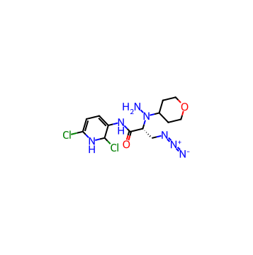 [N-]=[N+]=NC[C@H](C(=O)NC1=CC=C(Cl)NC1Cl)N(N)C1CCOCC1